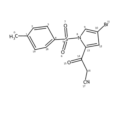 Cc1ccc(S(=O)(=O)n2cc(Br)cc2C(=O)CC#N)cc1